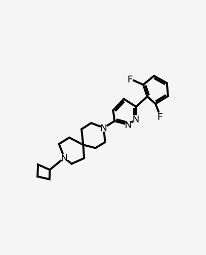 Fc1cccc(F)c1-c1ccc(N2CCC3(CC2)CCN(C2CCC2)CC3)nn1